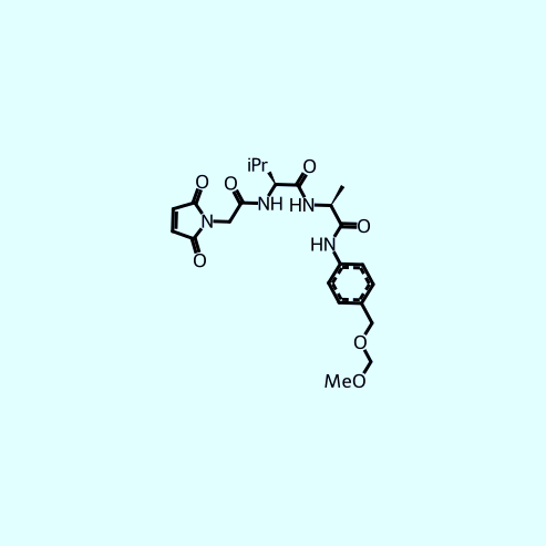 COCOCc1ccc(NC(=O)[C@H](C)NC(=O)[C@@H](NC(=O)CN2C(=O)C=CC2=O)C(C)C)cc1